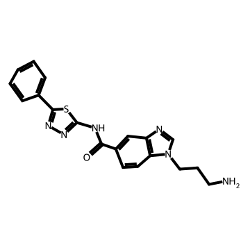 NCCCn1cnc2cc(C(=O)Nc3nnc(-c4ccccc4)s3)ccc21